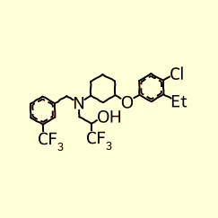 CCc1cc(OC2CCCC(N(Cc3cccc(C(F)(F)F)c3)CC(O)C(F)(F)F)C2)ccc1Cl